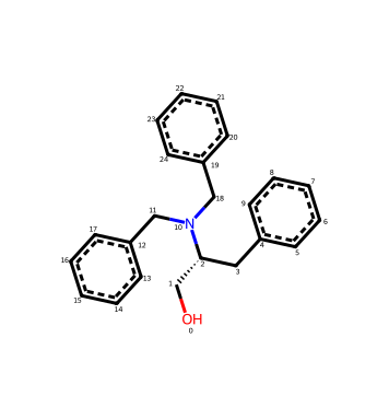 OC[C@@H](Cc1ccccc1)N(Cc1ccccc1)Cc1ccccc1